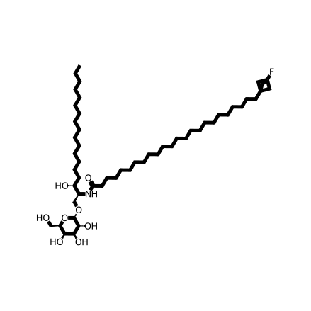 CCCCCCCCCCCCCCC[C@@H](O)[C@H](CO[C@H]1O[C@H](CO)[C@H](O)[C@H](O)[C@H]1O)NC(=O)CCCCCCCCCCCCCCCCCCCCCCCC12CC(F)(C1)C2